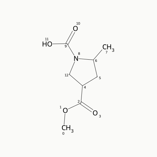 COC(=O)C1CC(C)N(C(=O)O)C1